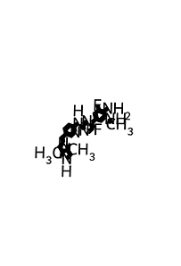 CNc1cc(-c2nc(Nc3ccc(CN4CC5(C)CNCC5(C)C4)cn3)ncc2F)cc(F)c1N